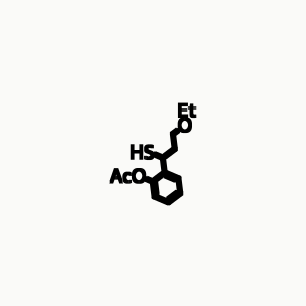 CCOCCC(S)c1ccccc1OC(C)=O